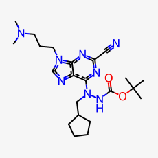 CN(C)CCCn1cnc2c(N(CC3CCCC3)NC(=O)OC(C)(C)C)nc(C#N)nc21